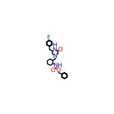 O=C1CN(CC2CCCCC2NC(=O)OCc2ccccc2)CC(Cc2ccc(F)cc2)N1